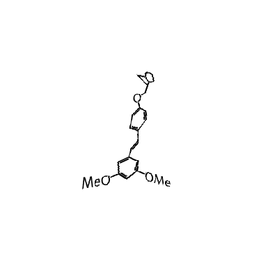 COc1cc(/C=C/c2ccc(OCC3CO3)cc2)cc(OC)c1